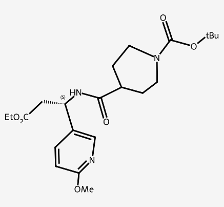 CCOC(=O)C[C@H](NC(=O)C1CCN(C(=O)OC(C)(C)C)CC1)c1ccc(OC)nc1